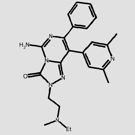 CCN(C)CCn1nc2c(-c3cc(C)nc(C)c3)c(-c3ccccc3)nc(N)n2c1=O